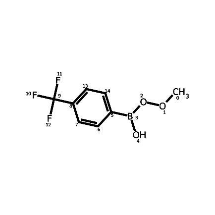 COOB(O)c1ccc(C(F)(F)F)cc1